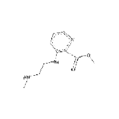 CNCCNc1cccnc1C(=O)OC